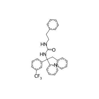 O=C(NCCc1ccccc1)NC(Cc1ccccc1)(c1cccc(C(F)(F)F)c1)c1ccccn1